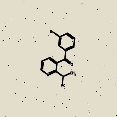 CC(=O)N(C)c1ncccc1C(=O)c1cccc(Br)c1